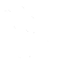 CC(C)(C)[Si](C)(C)OC1C[C@@H](CO)O[C@H]1n1cnc2c(N)nc(Cl)nc21